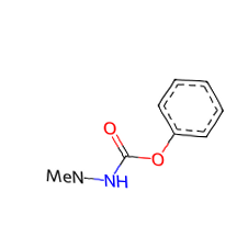 CNNC(=O)Oc1ccccc1